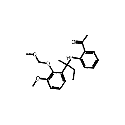 CCC(C)(Pc1ccccc1C(C)=O)c1cccc(OC)c1OCOC